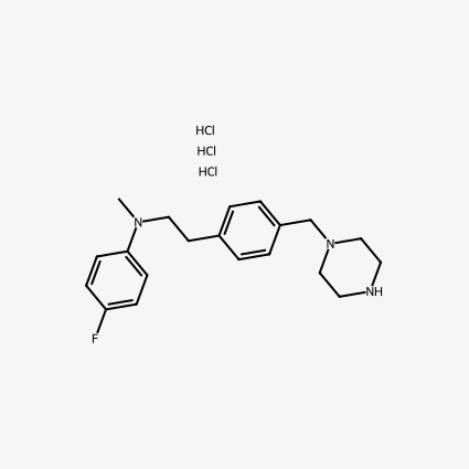 CN(CCc1ccc(CN2CCNCC2)cc1)c1ccc(F)cc1.Cl.Cl.Cl